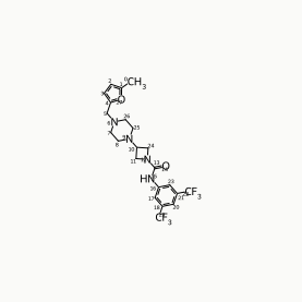 Cc1ccc(CN2CCN(C3CN(C(=O)Nc4cc(C(F)(F)F)cc(C(F)(F)F)c4)C3)CC2)o1